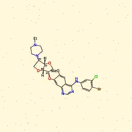 CCN1CCN([C@@H]2CO[C@@H]3[C@H]2OC[C@H]3Oc2cc3ncnc(Nc4ccc(Br)c(Cl)c4)c3cc2OC)CC1